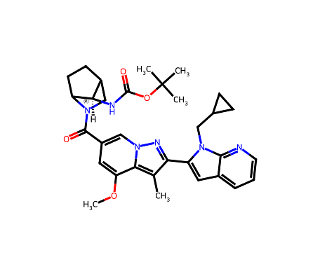 COc1cc(C(=O)N2CC3CCC2[C@@H]3NC(=O)OC(C)(C)C)cn2nc(-c3cc4cccnc4n3CC3CC3)c(C)c12